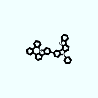 c1ccc(-n2c3ccc(-c4ccc5c(c4)c4cccc6c4n5-c4ccccc4-c4ccccc4-6)cc3c3c4oc5ccccc5c4ccc32)cc1